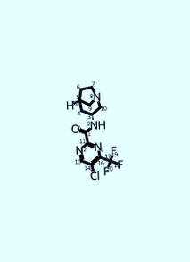 O=C(N[C@@H]1C[C@@H]2CCN(C2)C1)c1ncc(Cl)c(C(F)(F)F)n1